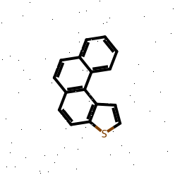 c1ccc2c(c1)ccc1ccc3sccc3c12